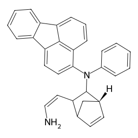 N/C=C\C1C2C=C[C@H](C2)C1N(c1ccccc1)c1ccc2c3c(cccc13)-c1ccccc1-2